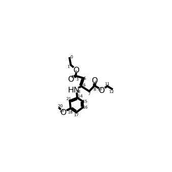 CCOC(=O)/C=C(/CC(=O)OCC)Nc1cccc(OC)c1